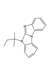 CCC(C)(C)n1c2ccccc2n2c3ccccc3nc12